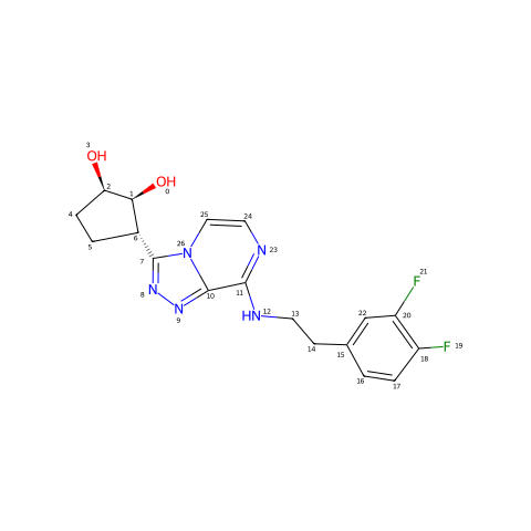 O[C@@H]1[C@H](O)CC[C@H]1c1nnc2c(NCCc3ccc(F)c(F)c3)nccn12